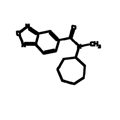 CN(C(=O)c1ccc2nonc2c1)C1CCCCCC1